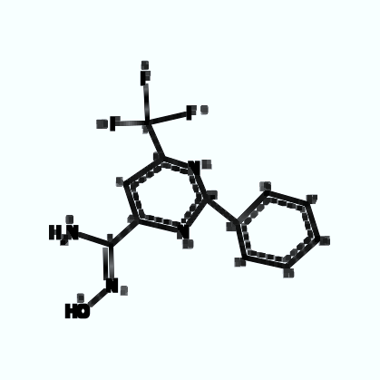 NC(=NO)c1cc(C(F)(F)F)nc(-c2ccccc2)n1